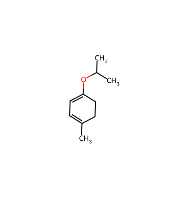 CC1=CC=C(OC(C)C)CC1